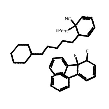 CCCCCC1(C#N)C=CC=CC1CCCCCC1CCCCC1.FC1C=CC=C(c2ccccc2)C1(F)c1ccccc1